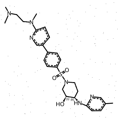 Cc1ccc(N[C@@H]2CCN(S(=O)(=O)c3ccc(-c4ccc(N(C)CCN(C)C)nc4)cc3)C[C@@H]2O)nc1